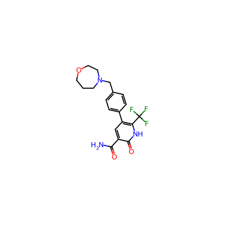 NC(=O)c1cc(-c2ccc(CN3CCCOCC3)cc2)c(C(F)(F)F)[nH]c1=O